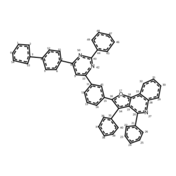 c1ccc(-c2ccc(-c3cc(-c4cccc(-c5oc6c(c(-c7ccccc7)nc7ccccc76)c5-c5ccccc5)c4)nc(-c4ccccc4)n3)cc2)cc1